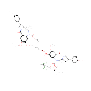 CCOC(=O)N1c2cc(OCCCCCOc3cc4c(cc3OC)C(=O)N3C=C(c5ccc(O)cc5)C[C@H]3[C@H](O[Si](C)(C)C(C)(C)C)N4C(=O)OCC(Cl)(Cl)Cl)c(OC)cc2C(=O)N2C=C(c3ccc(C)cc3)C[C@H]2[C@@H]1C